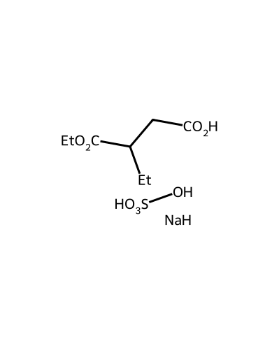 CCOC(=O)C(CC)CC(=O)O.O=S(=O)(O)O.[NaH]